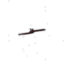 CCCCCCCCCCCCCCCCCCCCCCCCCCCCc1ccc(/N=C(C)/C(CCCCCC)=N/c2ccc(CCCCCCCCCCCCCCCCCCCCCCCCCCCC)cc2)cc1.[Ni]